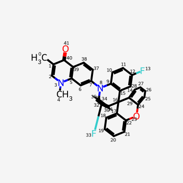 Cc1cn(C)c2cc(N3c4ccc(F)cc4C4(c5ccccc5Oc5ccccc54)c4cc(F)ccc43)ccc2c1=O